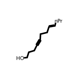 CCCC=CCCC#CCCCO